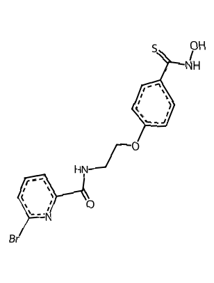 O=C(NCCOc1ccc(C(=S)NO)cc1)c1cccc(Br)n1